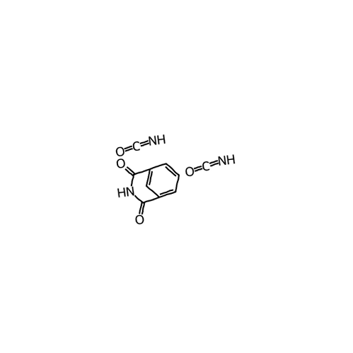 N=C=O.N=C=O.O=C1NC(=O)c2cccc1c2